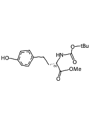 COC(=O)[C@H](CCc1ccc(O)cc1)NC(=O)OC(C)(C)C